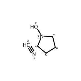 C#N.ON1CCCC1